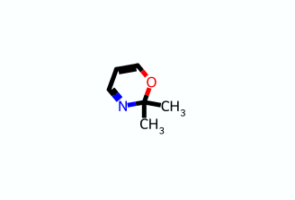 CC1(C)N=CC=CO1